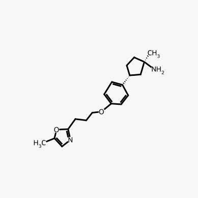 Cc1cnc(CCCOc2ccc([C@@H]3CC[C@@](C)(N)C3)cc2)o1